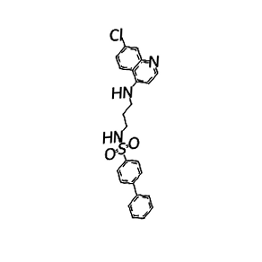 O=S(=O)(NCCCNc1ccnc2cc(Cl)ccc12)c1ccc(-c2ccccc2)cc1